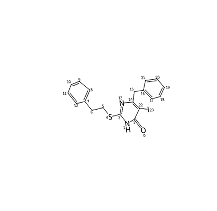 O=c1[nH]c(SCCc2ccccc2)nc(Cc2ccccc2)c1I